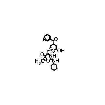 COC(=O)[C@H](CSCC(CC(=O)O)C(=O)c1cccnc1)NC(=O)NC1CCCCC1